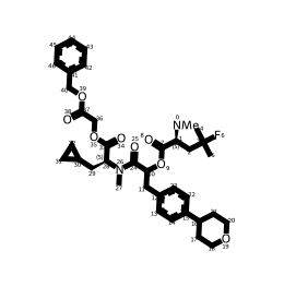 CN[C@@H](CC(C)(C)F)C(=O)OC(Cc1ccc(C2CCOCC2)cc1)C(=O)N(C)[C@@H](CC1CC1)C(=O)OCC(=O)OCc1ccccc1